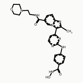 Cc1nc2ccc(C(=O)NCCN3CCOCC3)cn2c1-c1ccnc(Nc2ccc(C(=O)NO)cc2)n1